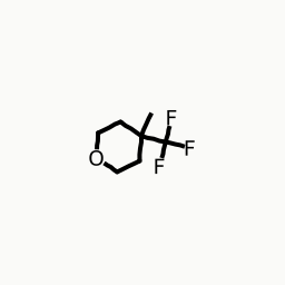 CC1(C(F)(F)F)CCOCC1